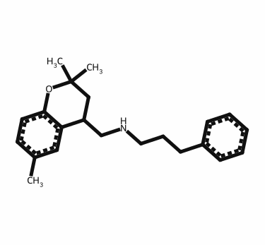 Cc1ccc2c(c1)C(CNCCCc1ccccc1)CC(C)(C)O2